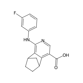 O=C(O)c1cnc(Nc2cccc(F)c2)c2c1C1CCC2C1